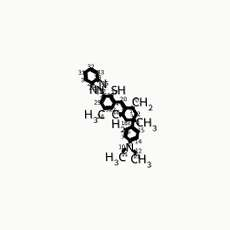 C=C1CC(C)(c2ccc(N(CC)CC)cc2)CC(=C)C1=Cc1cc(C)cc(-n2nc3ccccc3n2)c1S